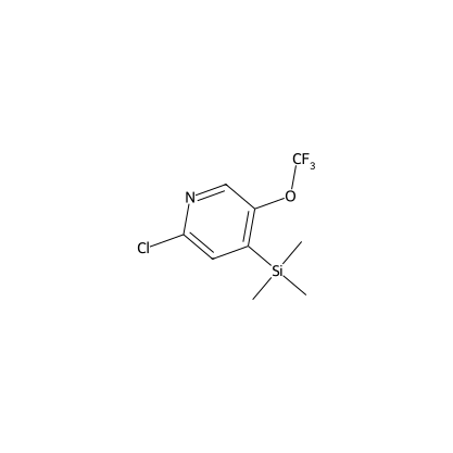 C[Si](C)(C)c1cc(Cl)ncc1OC(F)(F)F